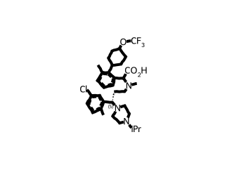 Cc1ccc(Cl)cc1[C@H](CCN(C)C(C(=O)O)c1cccc(C)c1C1CCC(OC(F)(F)F)CC1)N1CCN(C(C)C)CC1